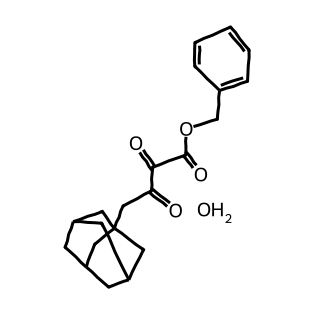 O.O=C(CC12CC3CC(CC(C3)C1)C2)C(=O)C(=O)OCc1ccccc1